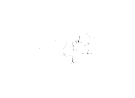 NC(c1ccccc1)(c1c(O)cc(C(CC2CC2)CC2CC2)oc1=O)C1CC1